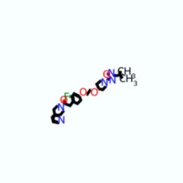 CC(C)c1noc(N2CCC(OCCOC3=CC(F)=C(CC(=O)N4CCc5cccnc5C4)CC3)CC2)n1